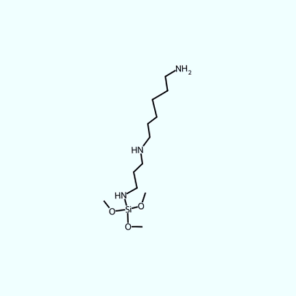 CO[Si](NCCCNCCCCCCN)(OC)OC